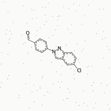 O=Cc1ccc(-n2cc3cc(Cl)ccc3n2)cc1